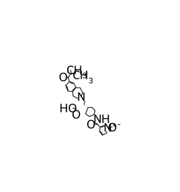 CC(C)C(=O)c1ccc2c(c1)CCN(CC[C@H]1CC[C@H](NC(=O)c3ccc[n+]([O-])c3)CC1)CC2.O=CO